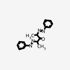 CC(N=Nc1ccccc1)C(=O)C(C)N=Nc1ccccc1